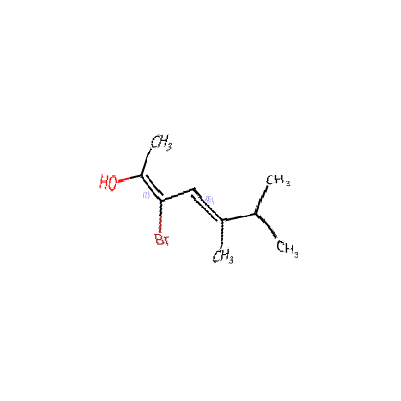 C/C(O)=C(Br)\C=C(/C)C(C)C